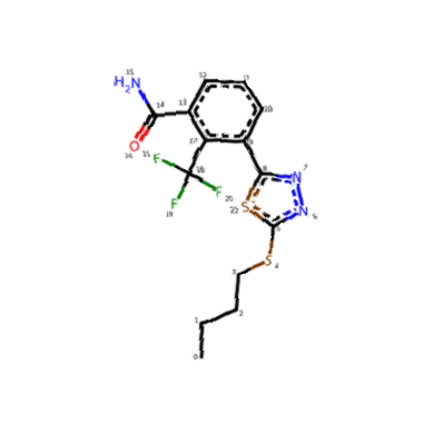 CCCCSc1nnc(-c2cccc(C(N)=O)c2C(F)(F)F)s1